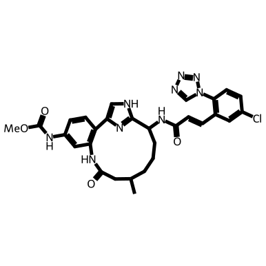 COC(=O)Nc1ccc2c(c1)NC(=O)CC(C)CCCC(NC(=O)C=Cc1cc(Cl)ccc1-n1cnnn1)c1nc-2c[nH]1